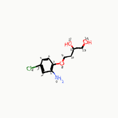 Nc1cc(Cl)ccc1OCCC(O)CO